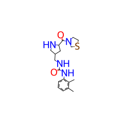 Cc1cccc(NC(=O)NCC2CNC(C(=O)N3CCSC3)C2)c1C